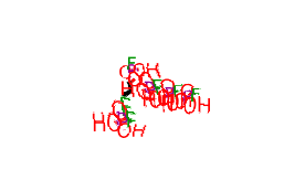 O=P(O)(F)OCC=CF.O=P(O)(O)F.O=P(O)(O)F.O=P(O)(O)F.O=P(O)(O)F